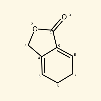 O=C1OCC2=CCCC=C12